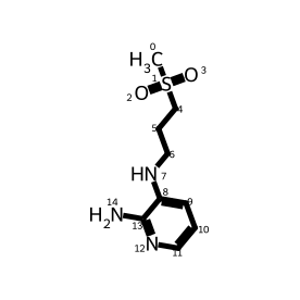 CS(=O)(=O)CCCNc1cccnc1N